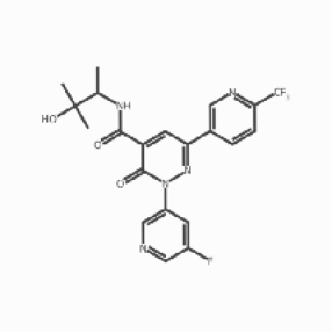 CC(NC(=O)c1cc(-c2ccc(C(F)(F)F)nc2)nn(-c2cncc(F)c2)c1=O)C(C)(C)O